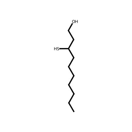 CCCCCCCC(S)CCO